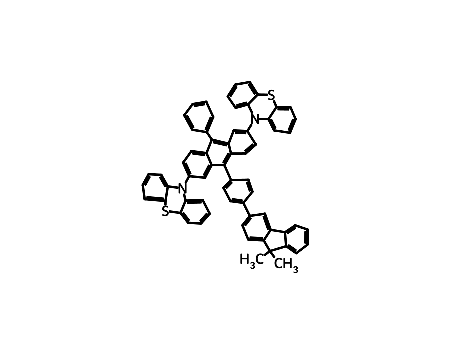 CC1(C)c2ccccc2-c2cc(-c3ccc(-c4c5ccc(N6c7ccccc7Sc7ccccc76)cc5c(-c5ccccc5)c5ccc(N6c7ccccc7Sc7ccccc76)cc45)cc3)ccc21